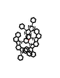 c1ccc(-c2ncc3nc(-c4cc(-n5c6c7ccccc7ccc6c6ccc7c(c8ccc9ccccc9c8n7-c7ccccc7)c65)cc(-n5c6c7ccccc7c7ccccc7c6c6ccc7c8ccc9ccccc9c8n(-c8ccccc8)c7c65)c4)nc(-c4ccccc4)c3n2)cc1